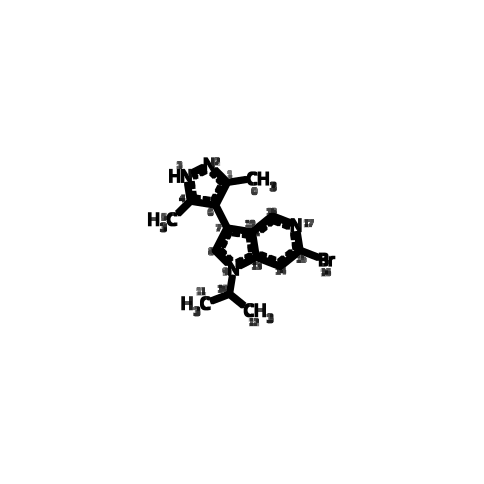 Cc1n[nH]c(C)c1-c1cn(C(C)C)c2cc(Br)ncc12